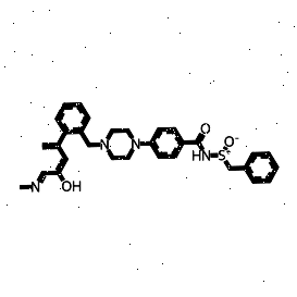 C=C(/C=C(O)\C=N\C)c1ccccc1CN1CCN(c2ccc(C(=O)N[S+]([O-])Cc3ccccc3)cc2)CC1